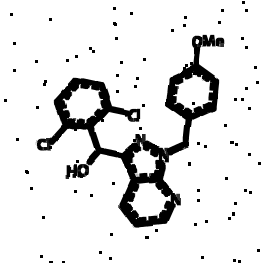 COc1ccc(Cn2nc(C(O)c3c(Cl)cccc3Cl)c3cccnc32)cc1